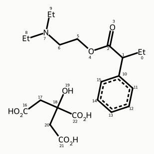 CCC(C(=O)OCCN(CC)CC)c1ccccc1.O=C(O)CC(O)(CC(=O)O)C(=O)O